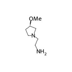 CO[C@@H]1CCN(CCN)C1